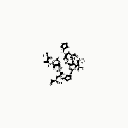 CNC(=O)C(C)=[N+](C)c1nc(C)nc(NNC(=O)[C@H](CC2CCCC2)CN(O)C=O)c1F.Cc1nc(NNC(=O)[C@H](CC2CCCC2)CN(O)C=O)c(F)c([C@@](C)(C(N)=O)N(C)C)n1